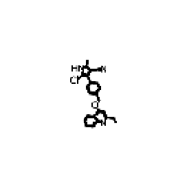 CCc1cc(OCc2ccc(-c3c(Cl)[nH]c(C)c3C#N)cc2)c2ccccc2n1